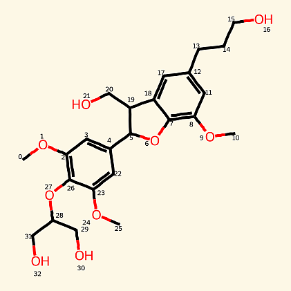 COc1cc(C2Oc3c(OC)cc(CCCO)cc3C2CO)cc(OC)c1OC(CO)CO